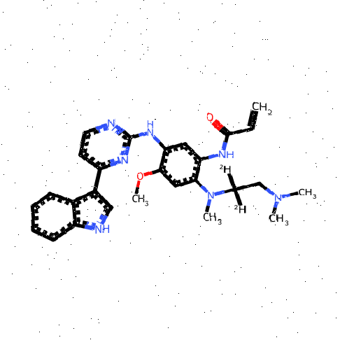 [2H]C([2H])(CN(C)C)N(C)c1cc(OC)c(Nc2nccc(-c3c[nH]c4ccccc34)n2)cc1NC(=O)C=C